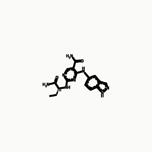 CC[C@@H](Nc1ncc(C(N)=O)c(Nc2ccc3[nH]ncc3c2)n1)C(N)=O